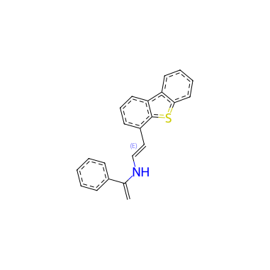 C=C(N/C=C/c1cccc2c1sc1ccccc12)c1ccccc1